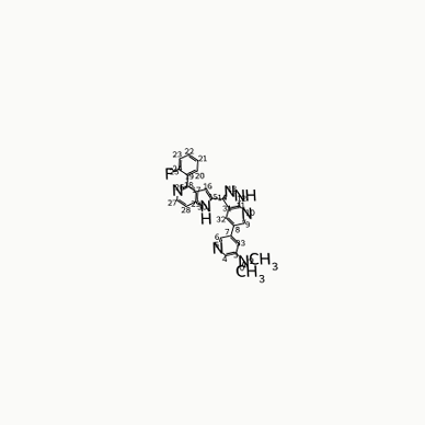 CN(C)c1cncc(-c2cnc3[nH]nc(-c4cc5c(-c6ccccc6F)nccc5[nH]4)c3c2)c1